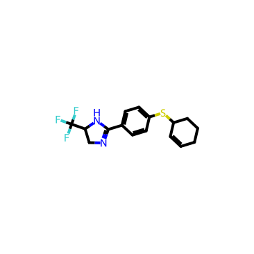 FC(F)(F)C1CN=C(c2ccc(SC3C=CCCC3)cc2)N1